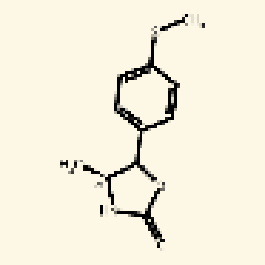 CSc1ccc(C2OC(=O)N[C@H]2C)cc1